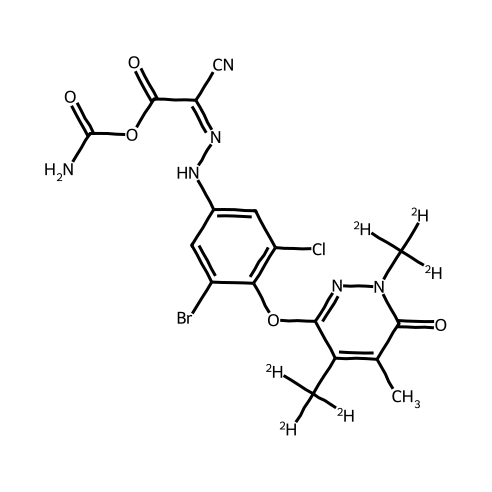 [2H]C([2H])([2H])c1c(Oc2c(Cl)cc(NN=C(C#N)C(=O)OC(N)=O)cc2Br)nn(C([2H])([2H])[2H])c(=O)c1C